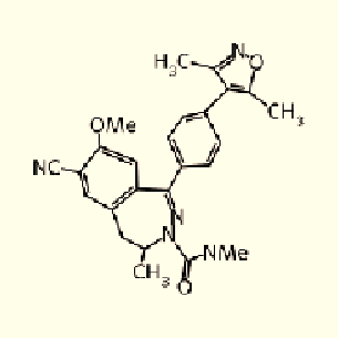 CNC(=O)N1N=C(c2ccc(-c3c(C)noc3C)cc2)c2cc(OC)c(C#N)cc2CC1C